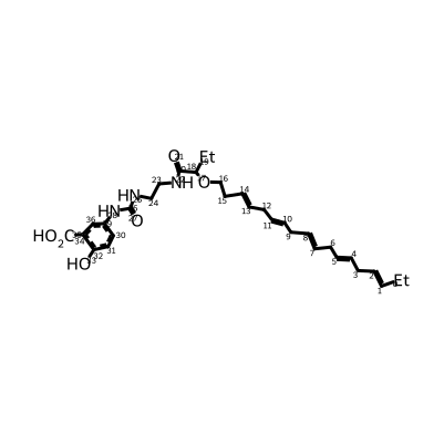 CCC=CCC=CCC=CCC=CCC=CCCOC(CC)C(=O)NCCNC(=O)Nc1ccc(O)c(C(=O)O)c1